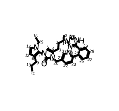 CCCCc1cn(-c2c(CCC)ccn2CC)c(=O)n1Cc1ccc(-c2ccccc2-c2nnn[nH]2)nc1